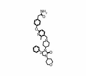 Cc1nc(Oc2ccc(CC(N)=O)cc2)ccc1CN1CCC(N2C(=O)N(C3CCOCC3)C[C@H]2c2ccccc2)CC1